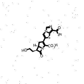 CC(C)C(=O)c1ncn2cc(C3=C(C(=O)O)N4C(=O)[C@@H](CCO)[C@H]4C3)sc12